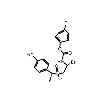 CC[C@H](CS(=O)(=O)[C@@H](C)c1ccc(C#N)cc1)NC(=O)Oc1ccc(F)cc1